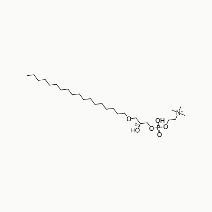 CCCCCCCCCCCCCCCCCCOC[C@H](O)COP(=O)(O)OCC[N+](C)(C)C